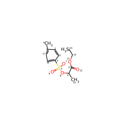 Cc1ccc(S(=O)(=O)OC(C)C(=O)OC[SiH3])cc1